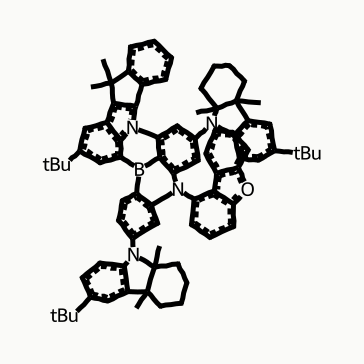 CC(C)(C)c1ccc2c(c1)C1(C)CCCCC1(C)N2c1ccc2c(c1)N(c1cccc3oc4ccccc4c13)c1cc(N3c4ccc(C(C)(C)C)cc4C4(C)CCCCC34C)cc3c1B2c1cc(C(C)(C)C)cc2c4c(n-3c12)-c1ccccc1C4(C)C